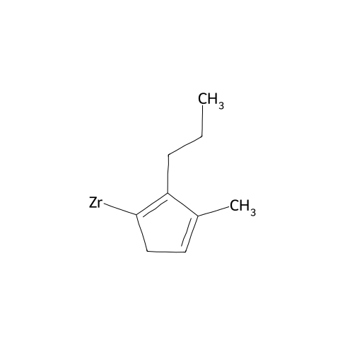 CCCC1=[C]([Zr])CC=C1C